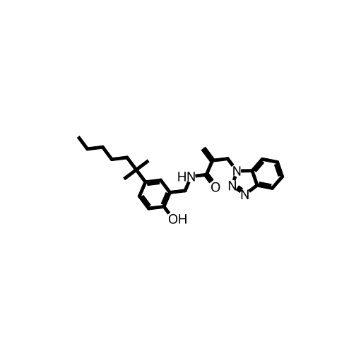 C=C(Cn1nnc2ccccc21)C(=O)NCc1cc(C(C)(C)CCCCC)ccc1O